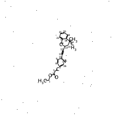 CCOC(=O)CCc1ccc(C#CC2CC(C)(C)c3ccccc3O2)nc1